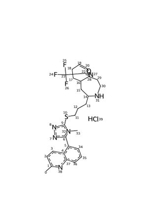 Cc1ccc2c(-c3nnc(SCCCC4CC5CCC=C6OC(C(F)(F)F)=NC65CCN4)n3C)cccc2n1.Cl